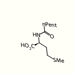 CCCCCC(=O)N[C@@H](CCSC)C(=O)O